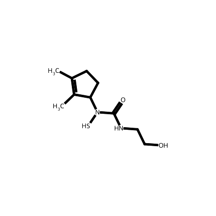 CC1=C(C)C(N(S)C(=O)NCCO)CC1